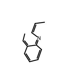 C\C=C/N=C1/C=CC=C/C1=C/C